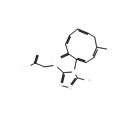 C=C1/C=C\C=C/C/C(C)=C\C=C/1n1c(C)nnc1SCC(=O)O